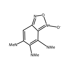 CNc1cc2no[n+]([O-])c2c(NC)c1NC